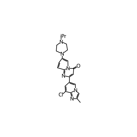 Cc1cn2cc(-c3cc(=O)n4cc(N5CCN(C(C)C)CC5)ccc4n3)cc(Cl)c2n1